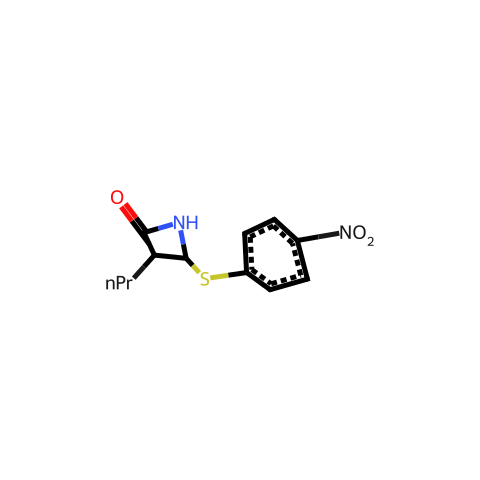 CCCC1C(=O)NC1Sc1ccc([N+](=O)[O-])cc1